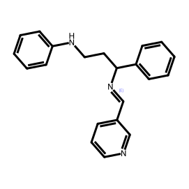 C(=N\C(CCNc1ccccc1)c1ccccc1)/c1cccnc1